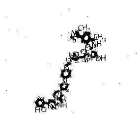 Cc1ncsc1-c1ccc([C@H](C)NC(=O)[C@@H]2C[C@@H](O)CN2C(=O)[C@@H](c2cc(OCCN3CCC(N4CC[C@H](N5CCN6c7cc(-c8ccccc8O)nnc7NC[C@H]6C5)C4)CC3)no2)C(C)C)cc1